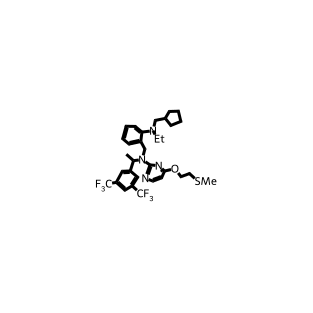 CCN(CC1CCCC1)c1ccccc1CN(c1nccc(OCCSC)n1)C(C)c1cc(C(F)(F)F)cc(C(F)(F)F)c1